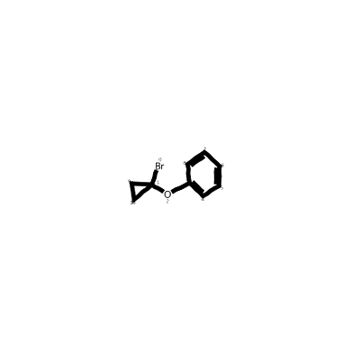 BrC1(Oc2ccccc2)CC1